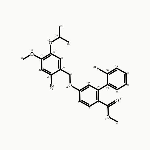 COC(=O)c1ccc(OCc2cc(OC(C)C)c(OC)cc2Br)cc1-c1ccccc1F